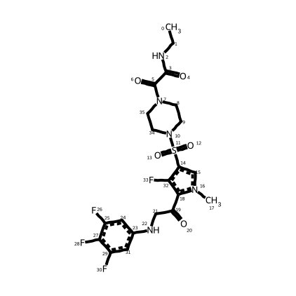 CCNC(=O)C(=O)N1CCN(S(=O)(=O)c2cn(C)c(C(=O)CNc3cc(F)c(F)c(F)c3)c2F)CC1